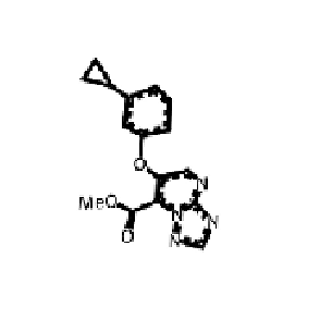 COC(=O)c1c(Oc2cccc(C3CC3)c2)cnc2ncnn12